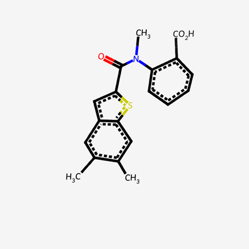 Cc1cc2cc(C(=O)N(C)c3ccccc3C(=O)O)sc2cc1C